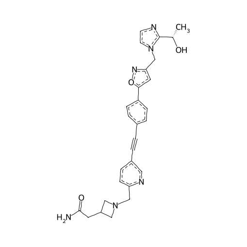 C[C@H](O)c1nccn1Cc1cc(-c2ccc(C#Cc3ccc(CN4CC(CC(N)=O)C4)nc3)cc2)on1